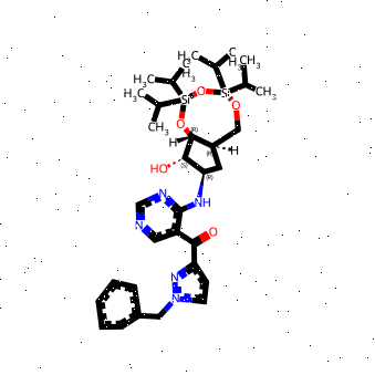 CC(C)[Si]1(C(C)C)OC[C@H]2C[C@@H](Nc3ncncc3C(=O)c3ccn(Cc4ccccc4)n3)[C@H](O)[C@@H]2O[Si](C(C)C)(C(C)C)O1